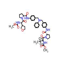 COC(=O)N[C@H](C(=O)N1CCC[C@H]1C(=O)Nc1ccc(CN(Cc2ccc(NC(=O)[C@@H]3CCCN3C(=O)[C@@H](NC(=O)OC)C(C)(C)C)cc2)c2ccccc2)cc1)[C@H]1CCOC1